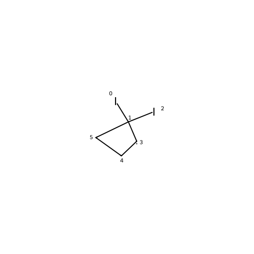 IC1(I)[CH]CC1